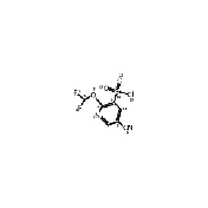 N#Cc1cnc(OC(F)F)c(S(=O)(=O)Cl)c1